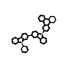 C1=CCC(n2c3ccccc3c3ccc(-c4ccc5c(c4)c4ccccc4n5-c4ccc5c6c(c7ccccc7c5c4)CCCC6)cc32)C=C1